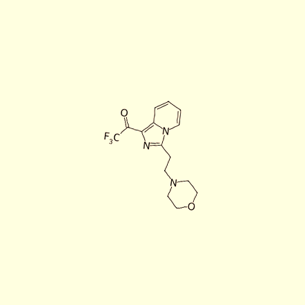 O=C(c1nc(CCN2CCOCC2)n2ccccc12)C(F)(F)F